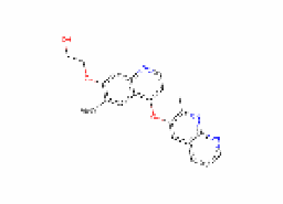 COc1cc2c(Oc3cc4cccnc4nc3C)ccnc2cc1OCCO